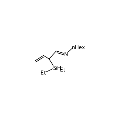 C=CC(C=NCCCCCC)[SiH](CC)CC